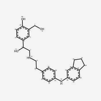 OCc1cc(C(O)CNCCc2ccc(Nc3ccc4c(c3)CCC4)cc2)ccc1O